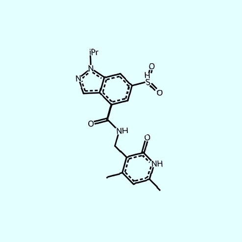 Cc1cc(C)c(CNC(=O)c2cc([SH](=O)=O)cc3c2cnn3C(C)C)c(=O)[nH]1